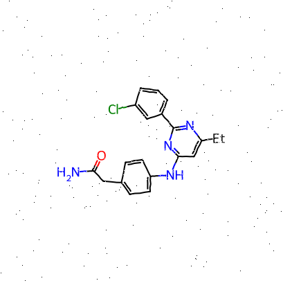 CCc1cc(Nc2ccc(CC(N)=O)cc2)nc(-c2cccc(Cl)c2)n1